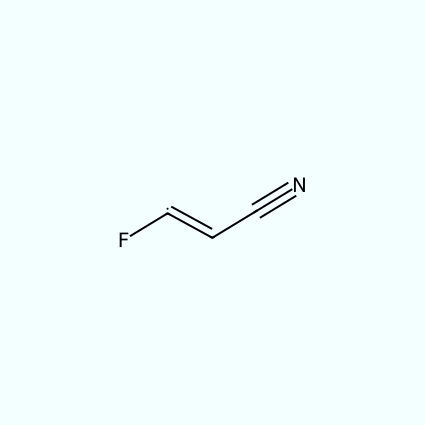 N#C/C=[C]/F